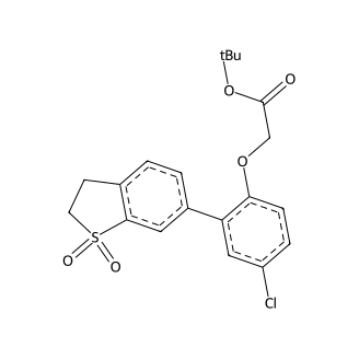 CC(C)(C)OC(=O)COc1ccc(Cl)cc1-c1ccc2c(c1)S(=O)(=O)CC2